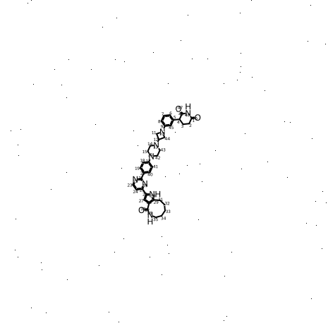 O=C1CCC(c2cccc(N3CC(N4CCN(c5ccc(-c6nccc(-c7cc8c([nH]7)CCCCCNC8=O)n6)cc5)CC4)C3)c2)C(=O)N1